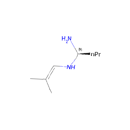 CCC[C@H](N)NC=C(C)C